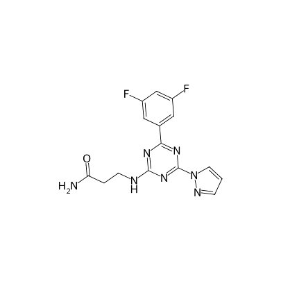 NC(=O)CCNc1nc(-c2cc(F)cc(F)c2)nc(-n2cccn2)n1